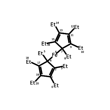 CCC1=C(CC)[C](CC)([Fe][C]2(CC)C(CC)=C(CC)C(CC)=C2CC)C(CC)=C1CC